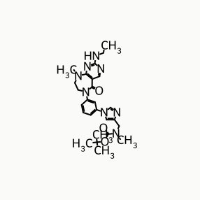 CCNc1ncc2c(n1)N(C)CCN(c1cccc(-n3cnc(CN(C)C(=O)OC(C)(C)C)c3)c1)C2=O